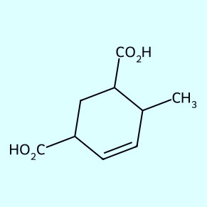 CC1C=CC(C(=O)O)CC1C(=O)O